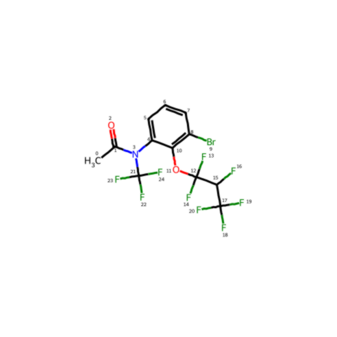 CC(=O)N(c1cccc(Br)c1OC(F)(F)C(F)C(F)(F)F)C(F)(F)F